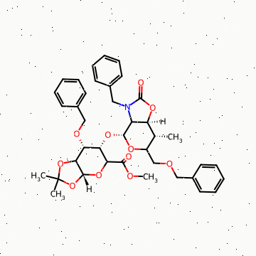 COC(=O)C1O[C@@H]2OC(C)(C)OC2[C@H](OCc2ccccc2)[C@@H]1O[C@H]1OC(COCc2ccccc2)[C@@H](C)[C@@H]2OC(=O)N(Cc3ccccc3)C12